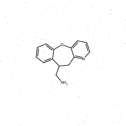 NCC1Cc2ncccc2Oc2ccccc21